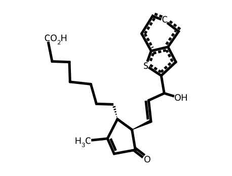 CC1=CC(=O)[C@H](C=CC(O)c2cc3ccccc3s2)[C@H]1CCCCCCC(=O)O